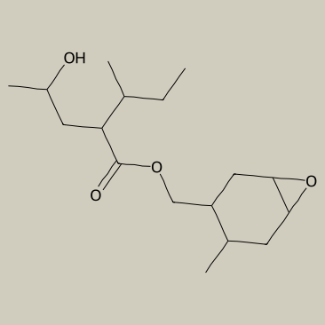 CCC(C)C(CC(C)O)C(=O)OCC1CC2OC2CC1C